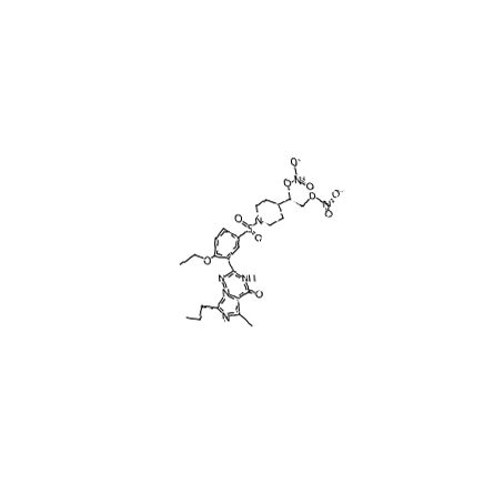 CCCc1nc(C)c2c(=O)[nH]c(-c3cc(S(=O)(=O)N4CCC([C@H](CO[N+](=O)[O-])O[N+](=O)[O-])CC4)ccc3OCC)nn12